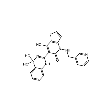 O=c1c(C2=NS(O)(O)c3ccccc3N2)c(O)c2sccc2n1NCc1cccnc1